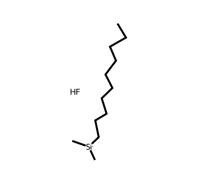 CCCCCCCCCC[Si](C)C.F